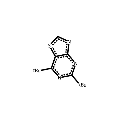 CC(C)(C)c1nc(C(C)(C)C)c2scnc2n1